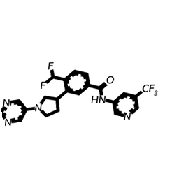 O=C(Nc1cncc(C(F)(F)F)c1)c1ccc(C(F)F)c(C2CCN(c3cncnc3)C2)c1